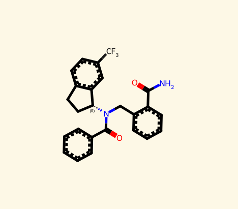 NC(=O)c1ccccc1CN(C(=O)c1ccccc1)[C@@H]1CCc2ccc(C(F)(F)F)cc21